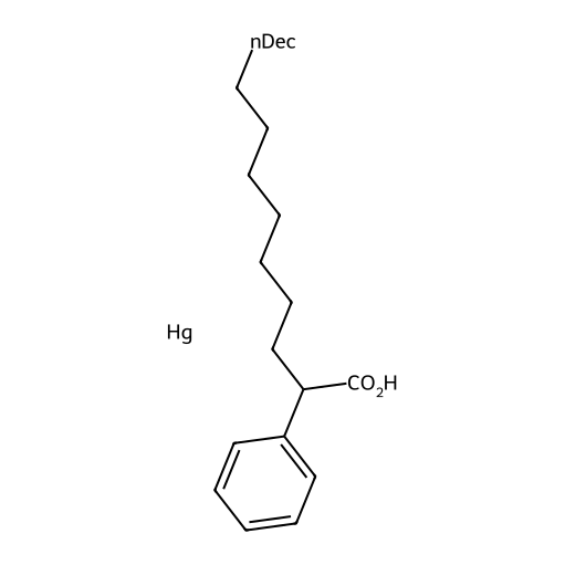 CCCCCCCCCCCCCCCCCC(C(=O)O)c1ccccc1.[Hg]